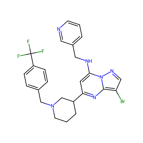 FC(F)(F)c1ccc(CN2CCCC(c3cc(NCc4cccnc4)n4ncc(Br)c4n3)C2)cc1